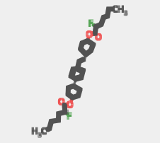 CCCCC[C@H](F)C(=O)O[C@H]1CC[C@H](CCc2ccc([C@H]3CC[C@H](OC(=O)[C@@H](F)CCCCC)CC3)cc2)CC1